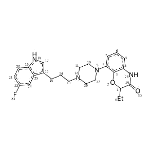 CCC1Oc2c(cccc2N2CCN(CCCc3c[nH]c4ccc(F)cc34)CC2)NC1=O